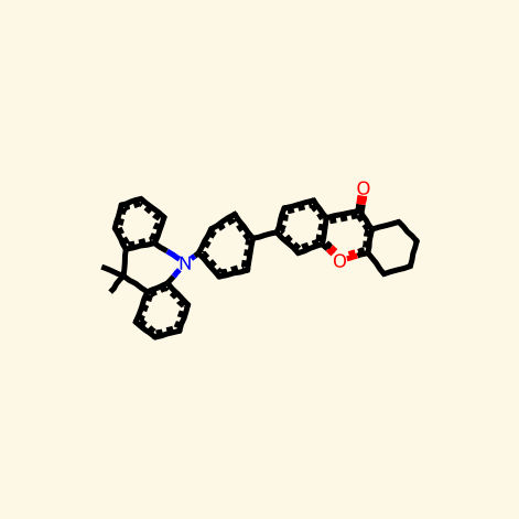 CC1(C)c2ccccc2N(c2ccc(-c3ccc4c(=O)c5c(oc4c3)CCCC5)cc2)c2ccccc21